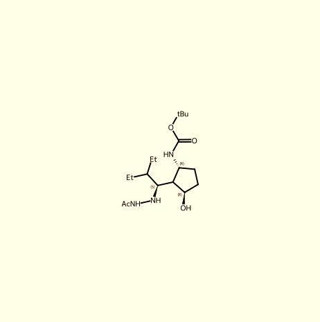 CCC(CC)[C@H](NNC(C)=O)C1[C@H](O)CC[C@H]1NC(=O)OC(C)(C)C